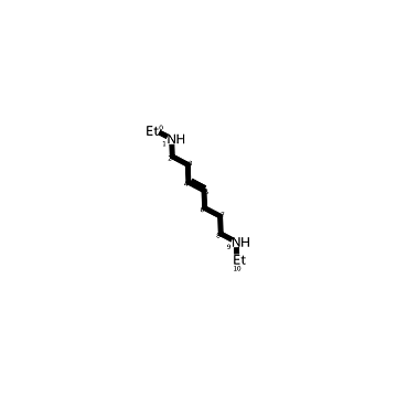 CCNCCC=CCCCNCC